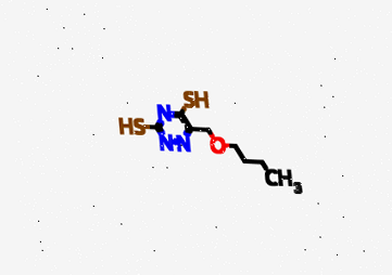 CCCCOCc1nnc(S)nc1S